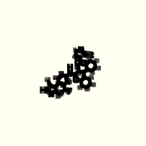 CCn1nccc1C(=O)N[C@H](C(=O)Nc1ccc(-c2c(C)n[nH]c2C)c(C(F)F)n1)C(C1CCCCC1)C1CCCCC1